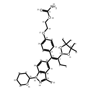 CCC(B1OC(C)(C)C(C)(C)O1)=C(c1ccc(OCCOC(N)=O)cc1)c1ccc2c(c1)c(F)nn2C1CCCCO1